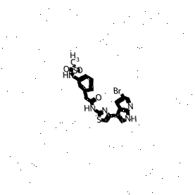 CS(=O)(=O)Nc1cccc(CC(=O)Nc2nc(-c3c[nH]c4ncc(Br)cc34)cs2)c1